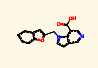 O=C(O)c1cncc2ccn(Cc3cc4ccccc4o3)c12